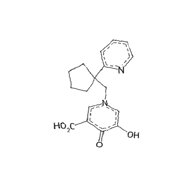 O=C(O)c1cn(CC2(c3ccccn3)CCCC2)cc(O)c1=O